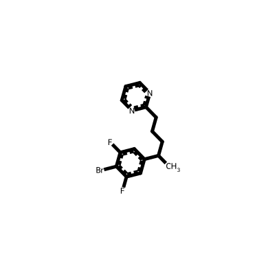 CC(CCCc1ncccn1)c1cc(F)c(Br)c(F)c1